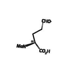 CN[C@@H](CC[C]=O)C(=O)O